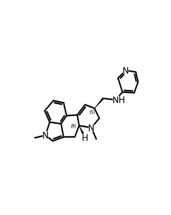 CN1C[C@H](CNc2cccnc2)C=C2c3cccc4c3c(cn4C)C[C@H]21